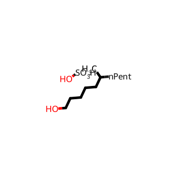 CCCCCC(C)CCCCCO.O=S(=O)(O)O